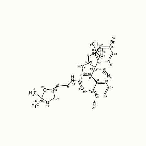 CC(C)(C)C[C@@H]1N[C@@H](C(=O)NCC[C@H]2COC(C)(C)O2)[C@H](c2cccc(Cl)c2F)[C@]1(C#N)c1ncc(Br)cn1